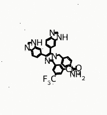 Cc1cc(-c2nc(-c3ccc4nc[nH]c4c3)c(-c3ccc4nc[nH]c4c3)n2Cc2ccc(C(N)=O)cc2)cc(C(F)(F)F)c1